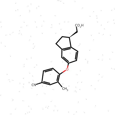 [C-]#[N+]c1ccc(Oc2ccc3c(c2)CC[C@H]3CC(=O)O)c(C)c1